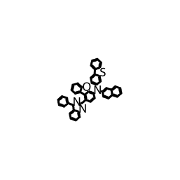 c1ccc(-c2nc(-c3ccc(N(c4ccc5ccccc5c4)c4ccc5c(c4)sc4ccccc45)c4oc5ccccc5c34)nc3ccccc23)cc1